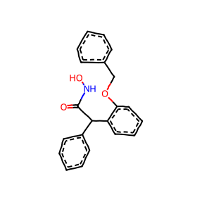 O=C(NO)C(c1ccccc1)c1ccccc1OCc1ccccc1